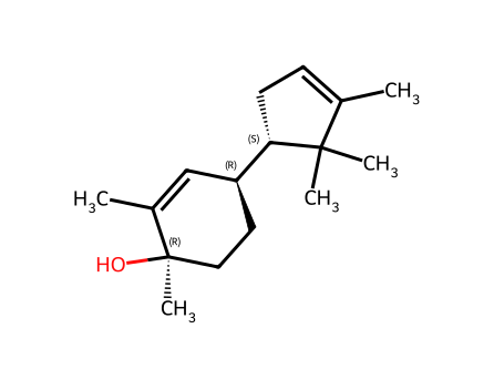 CC1=CC[C@@H]([C@@H]2C=C(C)[C@](C)(O)CC2)C1(C)C